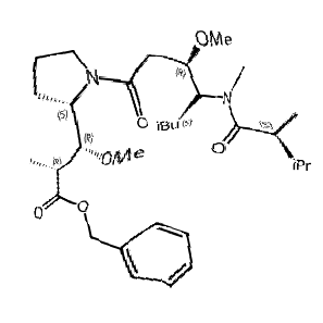 CC[C@H](C)C([C@@H](CC(=O)N1CCC[C@H]1[C@H](OC)[C@@H](C)C(=O)OCc1ccccc1)OC)N(C)C(=O)[C@@H](C)C(C)C